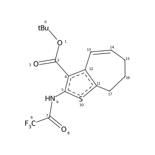 CC(C)(C)OC(=O)c1c(NC(=O)C(F)(F)F)sc2c1C=CCCC2